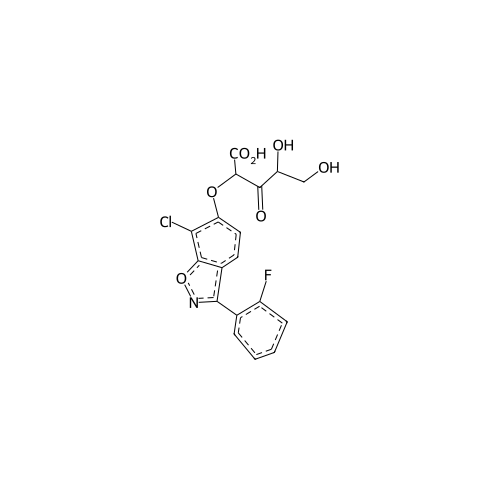 O=C(O)C(Oc1ccc2c(-c3ccccc3F)noc2c1Cl)C(=O)C(O)CO